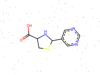 O=C(O)C1CSC(c2cncnc2)N1